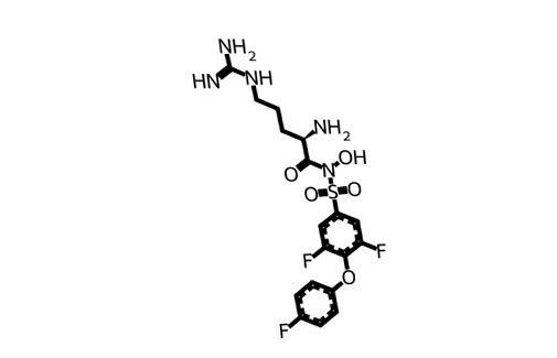 N=C(N)NCCC[C@@H](N)C(=O)N(O)S(=O)(=O)c1cc(F)c(Oc2ccc(F)cc2)c(F)c1